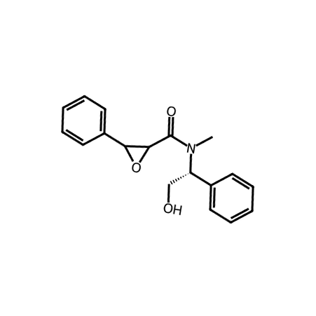 CN(C(=O)C1OC1c1ccccc1)[C@@H](CO)c1ccccc1